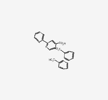 O=C(O)c1ccccc1.O=C(O)c1ccccc1.O=C(O)c1ccnc(-c2ccccn2)c1